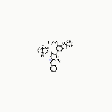 COc1cc(C(=O)N(C/C(C)=C/c2ccccc2)C[C@@H]2C[C@@H]3CCC[C@@H]3N2)cc2c1OC(C)(C)O2